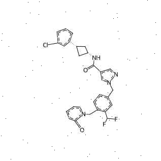 O=C(N[C@H]1C[C@@H](c2cccc(Cl)c2)C1)c1cnn(Cc2ccc(Cn3ccccc3=O)c(C(F)F)c2)c1